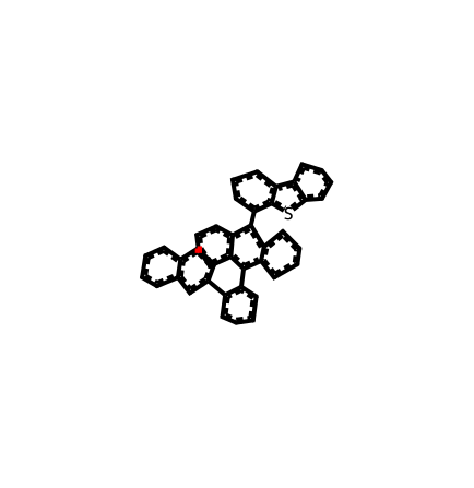 c1ccc(-c2c3ccccc3c(-c3cccc4c3sc3ccccc34)c3ccccc23)c(-c2ccc3ccccc3c2)c1